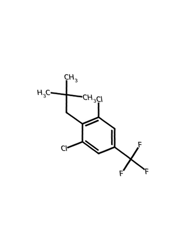 CC(C)(C)Cc1c(Cl)cc(C(F)(F)F)cc1Cl